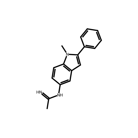 CC(=N)Nc1ccc2c(c1)cc(-c1ccccc1)n2C